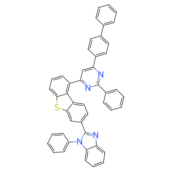 c1ccc(-c2ccc(-c3cc(-c4cccc5sc6cc(-c7nc8ccccc8n7-c7ccccc7)ccc6c45)nc(-c4ccccc4)n3)cc2)cc1